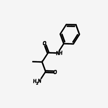 C[C](C(N)=O)C(=O)Nc1ccccc1